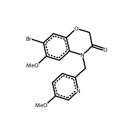 COc1ccc(CN2C(=O)COc3cc(Br)c(OC)cc32)nc1